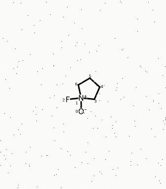 [O-][N+]1(F)CCCC1